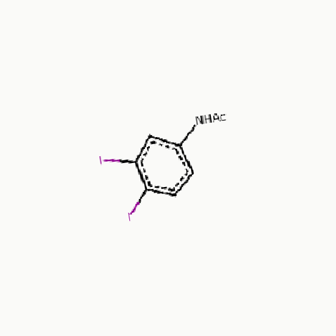 CC(=O)Nc1ccc(I)c(I)c1